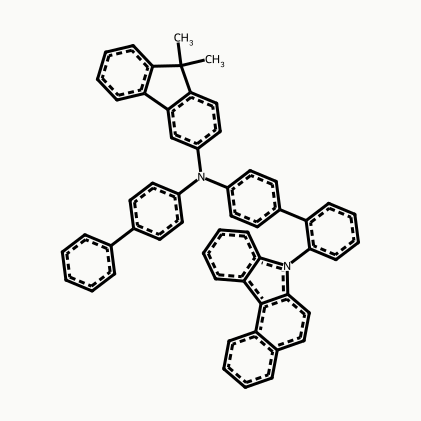 CC1(C)c2ccccc2-c2cc(N(c3ccc(-c4ccccc4)cc3)c3ccc(-c4ccccc4-n4c5ccccc5c5c6ccccc6ccc54)cc3)ccc21